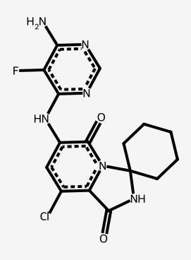 Nc1ncnc(Nc2cc(Cl)c3n(c2=O)C2(CCCCC2)NC3=O)c1F